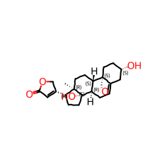 C[C@]12CC[C@H]3[C@@H](CC=C4C[C@@H](O)CC[C@@]43C=O)[C@@]1(O)CC[C@@H]2C1=CC(=O)OC1